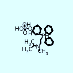 CC(C)N(C)CC[PH](c1ccccc1)(c1ccccc1)c1ccccc1.O=P(O)(O)O